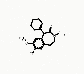 COc1cc2c(cc1Cl)CCN(C)C(=O)C2C1=CCCCC1